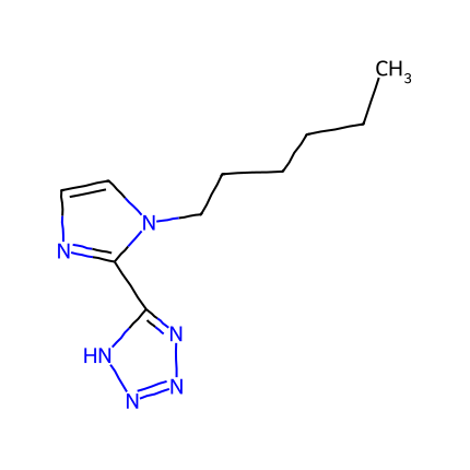 CCCCCCn1ccnc1-c1nnn[nH]1